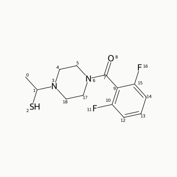 CC(S)N1CCN(C(=O)c2c(F)cccc2F)CC1